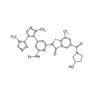 CCNc1cc(-c2c(-c3nncn3C)cnn2C)cc(N2Cc3c(cc(C(=O)N4CCC(O)C4)cc3C(F)(F)F)C2=O)n1